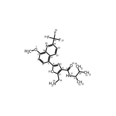 COc1ccc(-c2nc(C(=O)N[C@H](C)C(C)C)c(CN)o2)c2ccc(C(F)(F)F)nc12